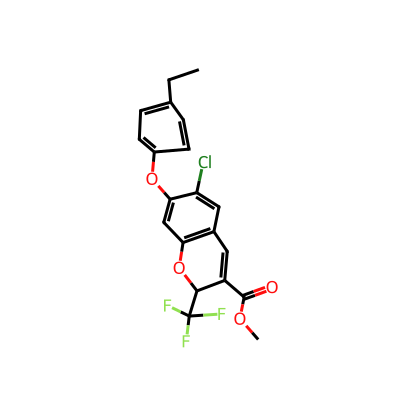 CCc1ccc(Oc2cc3c(cc2Cl)C=C(C(=O)OC)C(C(F)(F)F)O3)cc1